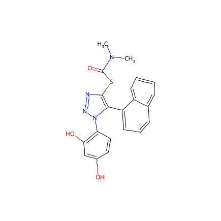 CN(C)C(=O)Sc1nnn(-c2ccc(O)cc2O)c1-c1cccc2ccccc12